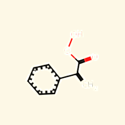 C=C(C(=O)OO)c1ccccc1